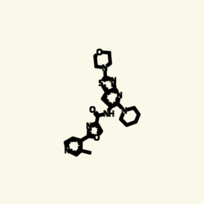 Cc1cnccc1-c1nc(C(=O)Nc2cc3sc(N4CCOCC4)nc3nc2N2CCCCC2)co1